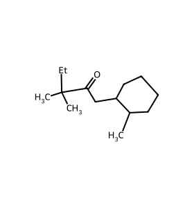 CCC(C)(C)C(=O)CC1CCCCC1C